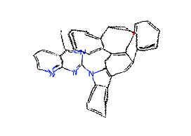 Cc1nc(-n2c3ccccc3c3cc4c5c(c32)-c2ccccc2C(CC5)c2ccccc2-4)nc2ncccc12